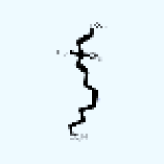 CCCCCCCCC=CC(C)(C)C=CC/C=C\CCCC(=O)O